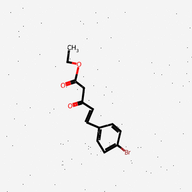 CCOC(=O)CC(=O)C=Cc1ccc(Br)cc1